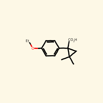 CCOc1ccc(C2(C(=O)O)CC2(C)C)cc1